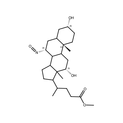 COC(=O)CCC(C)C1CCC2C3C(C[C@H](O)C12C)[C@@]1(C)CC[C@@H](O)CC1C[C@H]3N=O